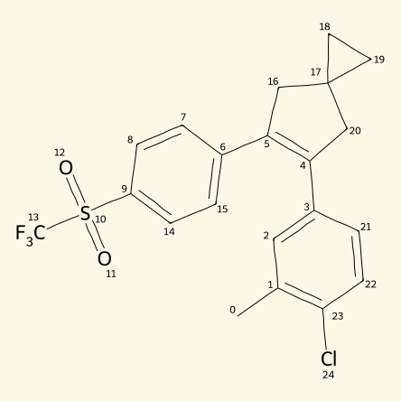 Cc1cc(C2=C(c3ccc(S(=O)(=O)C(F)(F)F)cc3)CC3(CC3)C2)ccc1Cl